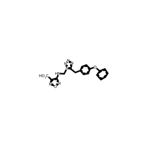 O=C(O)c1nonc1NCn1nnnc1Cc1ccc(Oc2ccccc2)cc1